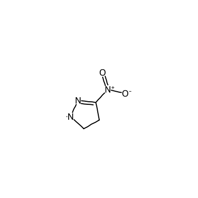 O=[N+]([O-])C1=N[N]CC1